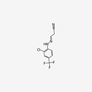 N#CCC=NNc1ccc(C(F)(F)F)cc1Cl